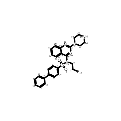 O=S(=O)(c1ccc(-c2ccccc2)cc1)N(CCF)c1nc(N2CCNCC2)nc2ccccc12